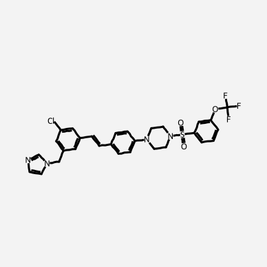 O=S(=O)(c1cccc(OC(F)(F)F)c1)N1CCN(c2ccc(C=Cc3cc(Cl)cc(Cn4ccnc4)c3)cc2)CC1